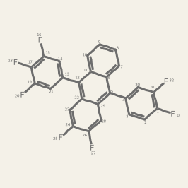 Fc1ccc(-c2c3ccccc3c(-c3cc(F)c(F)c(F)c3)c3cc(F)c(F)cc23)cc1F